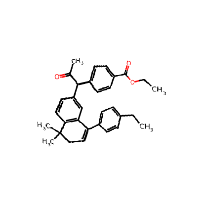 CCOC(=O)c1ccc(C(C(C)=O)c2ccc3c(c2)C(c2ccc(CC)cc2)=CCC3(C)C)cc1